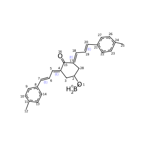 BOC1C/C(=C\C=C\c2ccc(C)cc2)C(=O)/C(=C/C=C/c2ccc(C)cc2)C1